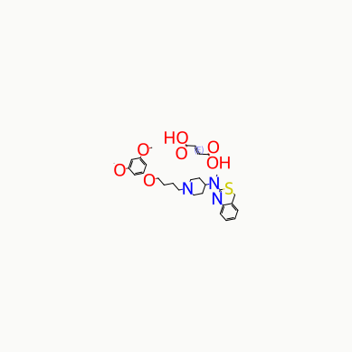 COc1cc(OC)cc(OCCCCN2CCC(N(C)C3=Nc4ccccc4CS3)CC2)c1.O=C(O)/C=C/C(=O)O